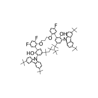 CC(C)(C)CC(C)(C)c1cc(-c2cc(F)ccc2OCCCOc2c(F)cc(F)cc2-c2cc(C(C)(C)CC(C)(C)C)cc(-n3c4ccc(C(C)(C)C)cc4c4cc(C(C)(C)C)ccc43)c2O)c(O)c(-n2c3ccc(C(C)(C)C)cc3c3cc(C(C)(C)C)ccc32)c1